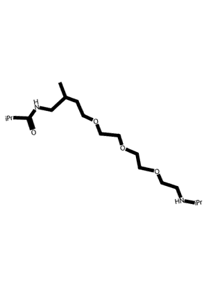 CC(CCOCCOCCOCCNC(C)C)CNC(=O)C(C)C